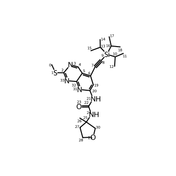 CSc1ncc2c(C#C[Si](C(C)C)(C(C)C)C(C)C)cc(NC(=O)NC3(C)CCOC3)nc2n1